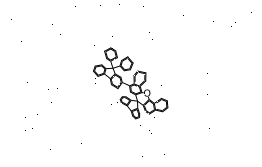 c1ccc(C2(c3ccccc3)c3ccccc3-c3ccc(-c4cc5c(c6ccccc46)Oc4c(ccc6ccccc46)C54c5ccccc5-c5ccccc54)cc32)cc1